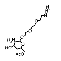 CC(=O)OCC1CC(O)C(N)C(OCCOCCOCCN=[N+]=[N-])O1